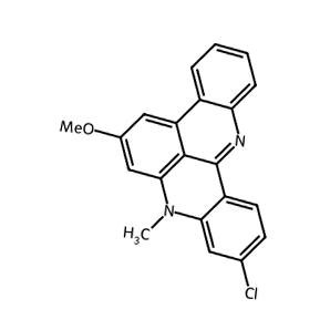 COc1cc2c3c(nc4ccccc4c3c1)-c1ccc(Cl)cc1N2C